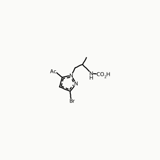 CC(=O)c1cc(Br)nn1CC(C)NC(=O)O